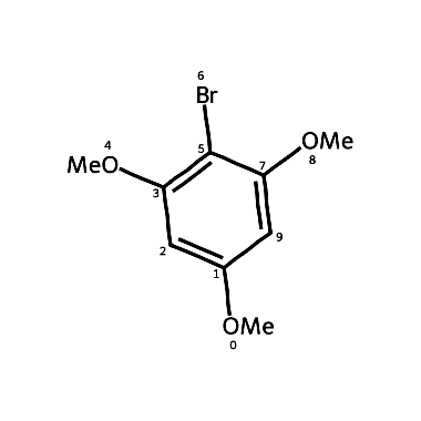 COc1cc(OC)c(Br)c(OC)c1